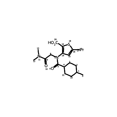 CC1CCC(C(=O)N(CC(=O)N(C)C)c2cc(C(C)C)sc2C(=O)O)CC1